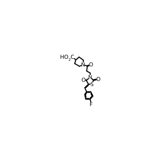 O=C(O)C1CCN(C(=O)CCN2C(=O)S/C(=C\c3ccc(F)cc3)C2=O)CC1